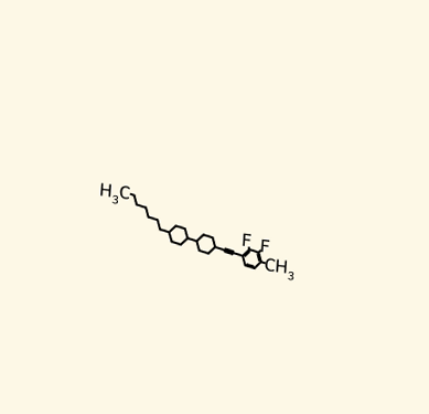 CCCCCCCC1CCC(C2CCC(C#Cc3ccc(C)c(F)c3F)CC2)CC1